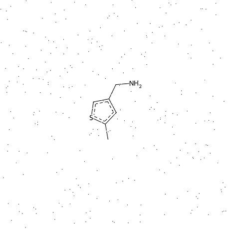 Cc1cc(CN)cs1